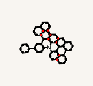 c1ccc(-c2ccc(N(c3cccc(-c4cccc5ccccc45)c3)c3ccccc3-c3cccc4cccc(-c5ccccc5)c34)c(-c3ccccc3)c2)cc1